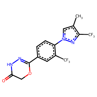 Cc1cn(-c2ccc(C3=NNC(=O)CO3)cc2C(F)(F)F)nc1C(F)(F)F